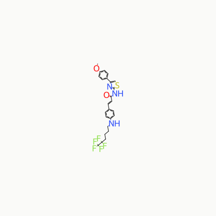 COc1ccc(-c2csc(NC(=O)/C=C/c3ccc(NCCCCC(F)(F)C(F)(F)F)cc3)n2)cc1